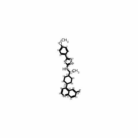 COc1ccc(-c2nnc(N[C@H](C)C3CCC(c4ccnc5ccc(F)cc45)CC3)s2)cc1